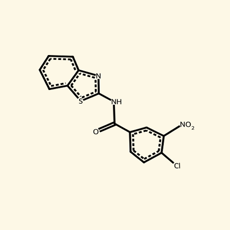 O=C(Nc1nc2ccccc2s1)c1ccc(Cl)c([N+](=O)[O-])c1